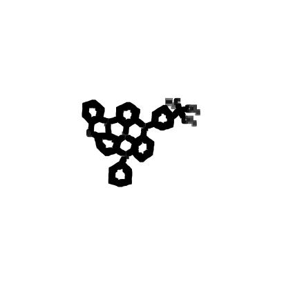 CC(C)(C)c1ccc(N2c3cccc4c3B3c5c2cccc5N2c5ccccc5Oc5ccc(c3c52)N4c2ccccc2)cc1